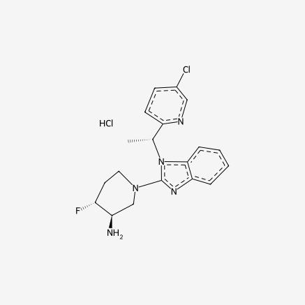 C[C@H](c1ccc(Cl)cn1)n1c(N2CC[C@@H](F)[C@H](N)C2)nc2ccccc21.Cl